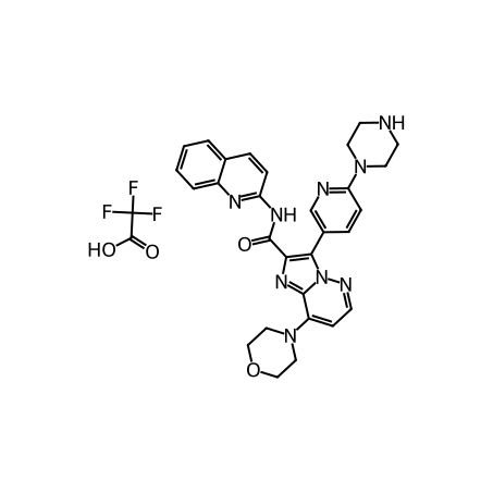 O=C(Nc1ccc2ccccc2n1)c1nc2c(N3CCOCC3)ccnn2c1-c1ccc(N2CCNCC2)nc1.O=C(O)C(F)(F)F